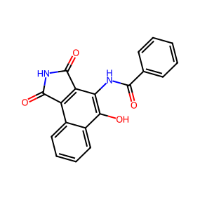 O=C(Nc1c2c(c3ccccc3c1O)C(=O)NC2=O)c1ccccc1